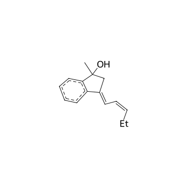 CC/C=C\C=C1/CC(C)(O)c2ccccc21